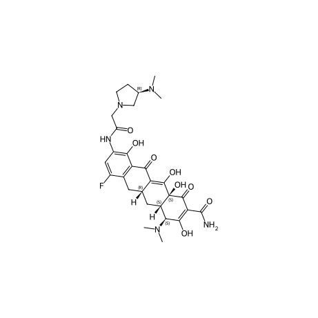 CN(C)[C@@H]1CCN(CC(=O)Nc2cc(F)c3c(c2O)C(=O)C2=C(O)[C@]4(O)C(=O)C(C(N)=O)=C(O)[C@@H](N(C)C)[C@@H]4C[C@@H]2C3)C1